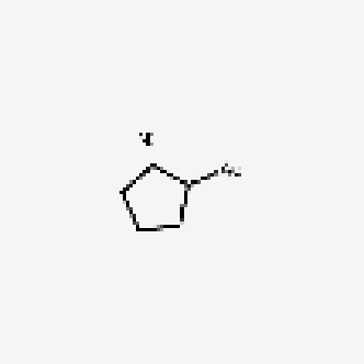 CC(=O)C1CCCC1.[N]